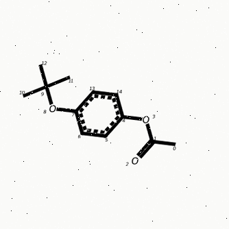 CC(=O)Oc1ccc(OC(C)(C)C)cc1